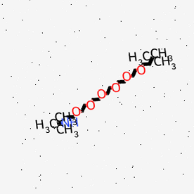 CC(C)(C)CCOCCOCCOCCOCCOCCOCCNC(C)(C)C